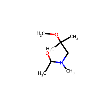 COC(C)(C)CN(C)C(C)[O]